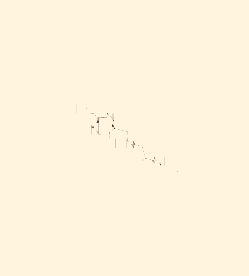 Cc1noc(CNCCN)n1